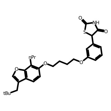 CCCc1c(OCCCCOc2cccc(C3SC(=O)NC3=O)c2)ccc2c(CC(C)(C)C)coc12